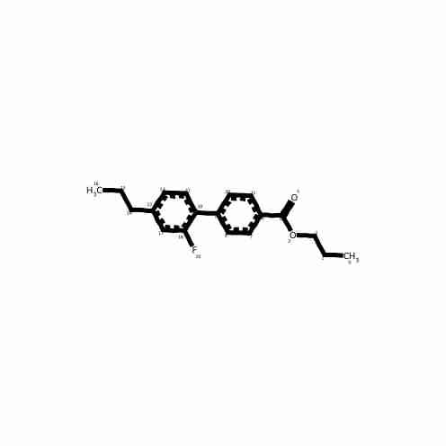 CCCOC(=O)c1ccc(-c2ccc(CCC)cc2F)cc1